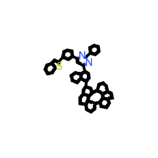 c1ccc(-c2nc(-c3cccc(-c4cc5ccccc5s4)c3)cc(-c3ccc(-c4cc5ccc6cccc7c8cccc9ccc%10cccc(c(c4)c5c67)c%10c98)c4ccccc34)n2)cc1